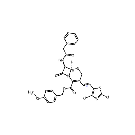 COc1ccc(COC(=O)C2=C(/C=C/c3sc(Cl)nc3Cl)CS[C@@H]3C(NC(=O)Cc4ccccc4)C(=O)N23)cc1